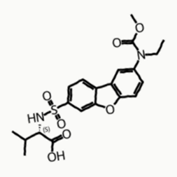 CCN(C(=O)OC)c1ccc2oc3cc(S(=O)(=O)N[C@H](C(=O)O)C(C)C)ccc3c2c1